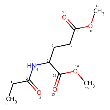 CCC(=O)NC(CCC(=O)OC)C(=O)OC